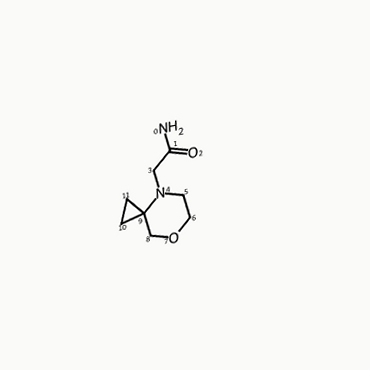 NC(=O)CN1CCOCC12CC2